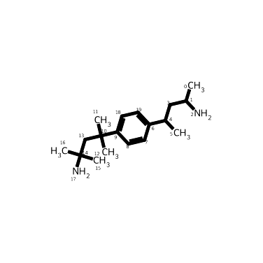 CC(N)CC(C)c1ccc(C(C)(C)CC(C)(C)N)cc1